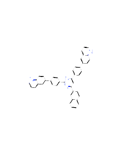 c1ccc2cc(-c3cc(-c4ccc(-c5ccc6ncccc6c5)cc4)nc(-c4ccc(-c5ccc6ncccc6c5)cc4)n3)ccc2c1